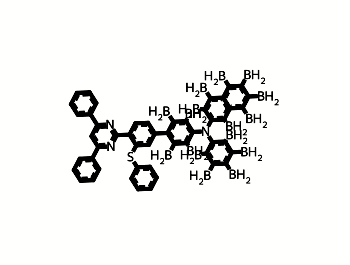 Bc1c(B)c(B)c(N(c2c(B)c(B)c(-c3ccc(-c4nc(-c5ccccc5)cc(-c5ccccc5)n4)c(Sc4ccccc4)c3)c(B)c2B)c2c(B)c(B)c3c(B)c(B)c(B)c(B)c3c2B)c(B)c1B